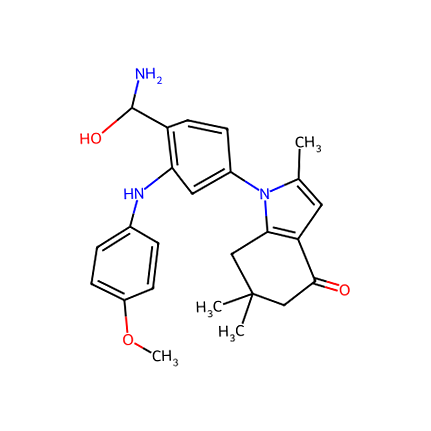 COc1ccc(Nc2cc(-n3c(C)cc4c3CC(C)(C)CC4=O)ccc2C(N)O)cc1